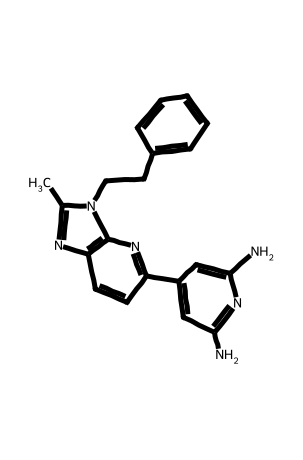 Cc1nc2ccc(-c3cc(N)nc(N)c3)nc2n1CCc1ccccc1